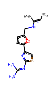 CN/C(=C\[N+](=O)[O-])NCc1ccc(-c2csc(N=C(N)N)n2)o1